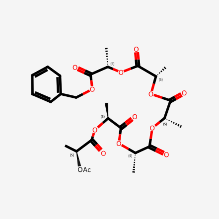 CC(=O)O[C@@H](C)C(=O)O[C@@H](C)C(=O)O[C@@H](C)C(=O)O[C@@H](C)C(=O)O[C@@H](C)C(=O)O[C@@H](C)C(=O)OCc1ccccc1